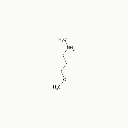 [CH2-][NH2+]CCCOC